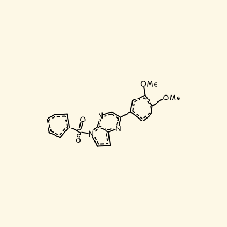 COc1ccc(-c2cnc3c(ccn3S(=O)(=O)c3ccccc3)n2)cc1OC